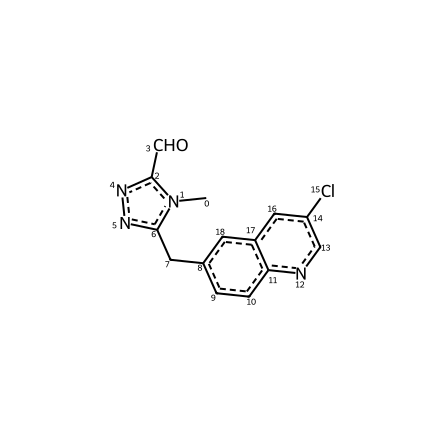 Cn1c(C=O)nnc1Cc1ccc2ncc(Cl)cc2c1